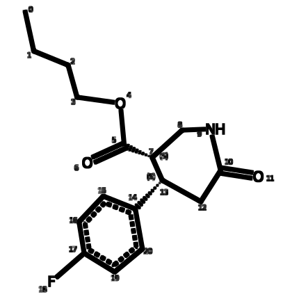 CCCCOC(=O)[C@@H]1CNC(=O)C[C@@H]1c1ccc(F)cc1